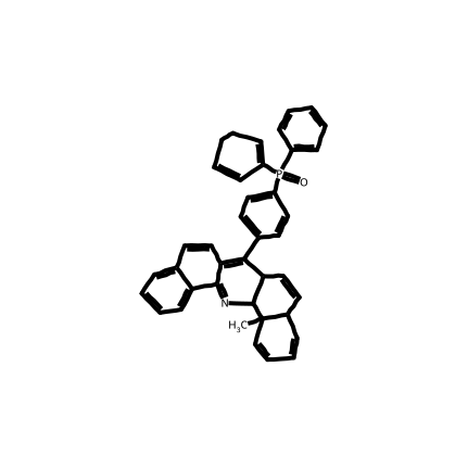 CC12C=CC=CC1C=CC1C(c3ccc(P(=O)(C4=CCCC=C4)c4ccccc4)cc3)=c3ccc4ccccc4c3=NC12